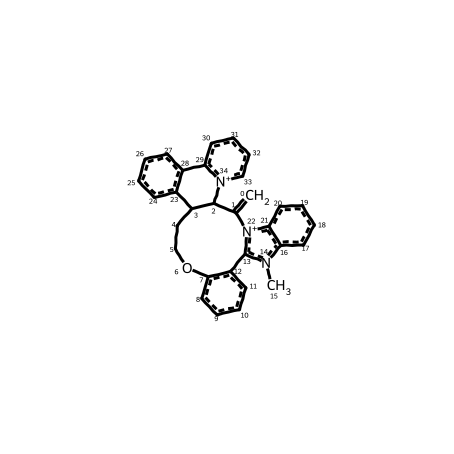 C=C1C2C(CCOc3ccccc3-c3n(C)c4ccccc4[n+]31)c1ccccc1-c1cccc[n+]12